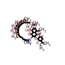 CO[C@H]1/C=C/O[C@@H](C)Oc2c(C)c(O)c3c(=O)c(c4oc5c(F)c(C(C)C)ccc5nc-4c3c2C(C)=O)NC(=O)/C(C)=C\C=C\[C@H](C)[C@H](O)[C@@H](C)[C@@H](O)[C@@H](C)[C@H](O)[C@@H]1C